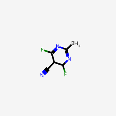 BC1=NC(F)C(C#N)C(F)=N1